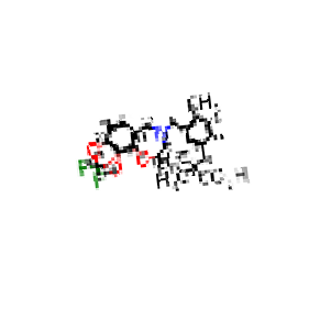 CC[C@@H]1CN(Cc2cc(CC(C)(C)C(=O)O)ccc2C)Cc2ccc3c(c2O1)OC(F)(F)O3